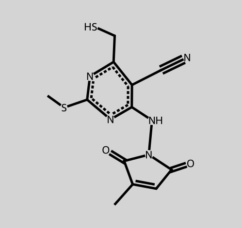 CSc1nc(CS)c(C#N)c(NN2C(=O)C=C(C)C2=O)n1